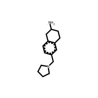 NC1CCc2cc(CN3CCCC3)ccc2C1